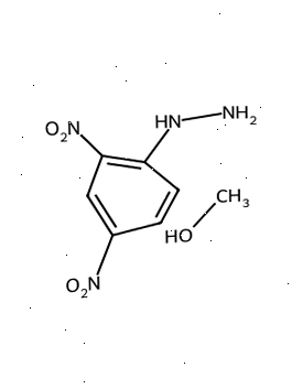 CO.NNc1ccc([N+](=O)[O-])cc1[N+](=O)[O-]